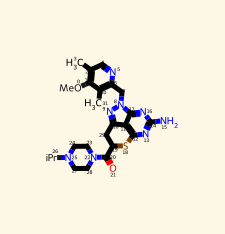 COc1c(C)cnc(Cn2nc3c4c(nc(N)nc42)SC(C(=O)N2CCN(C(C)C)CC2)C3)c1C